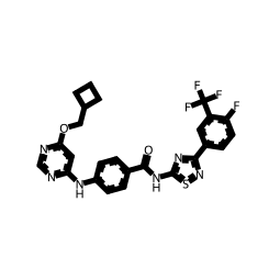 O=C(Nc1nc(-c2ccc(F)c(C(F)(F)F)c2)ns1)c1ccc(Nc2cc(OCC3CCC3)ncn2)cc1